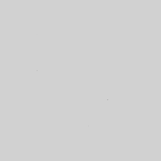 CCO[Si](CCCSCc1ccc(=O)n(CC(=O)OC)c1)(OCC)OCC